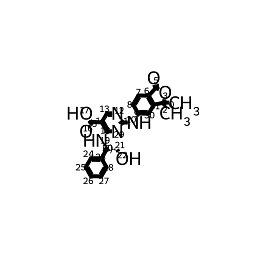 CC1(C)OC(=O)c2ccc(Nc3ncc(C(=O)O)c(N[C@H](CO)c4ccccc4)n3)cc21